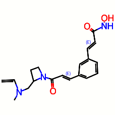 C=CN(C)CC1CCN1C(=O)/C=C/c1cccc(/C=C/C(=O)NO)c1